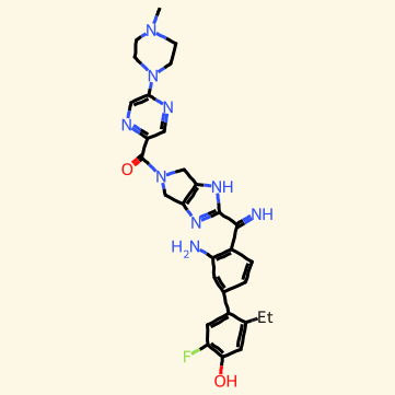 CCc1cc(O)c(F)cc1-c1ccc(C(=N)c2nc3c([nH]2)CN(C(=O)c2cnc(N4CCN(C)CC4)cn2)C3)c(N)c1